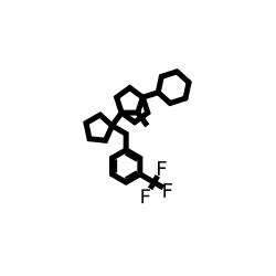 CC1C2(C3CCCCC3)CCC1(C1(Cc3cccc(C(F)(F)F)c3)CCCC1)CC2